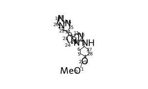 COCCO[C@H]1CC[C@H](Nc2ncc3c(-c4cnc5nccn5c4)ccn3n2)CC1